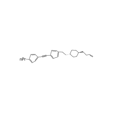 C=CCC[C@H]1CC[C@H](CCc2ccc(C#Cc3ccc(CCC)cc3)cc2)CC1